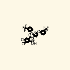 O=C(O)c1cc(Cl)c(Cl)cc1C(=O)Nc1ccc(Oc2cccc(C(F)(F)F)c2)nc1Oc1cccc(C(F)(F)F)c1